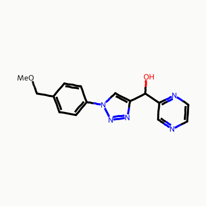 COCc1ccc(-n2cc(C(O)c3cnccn3)nn2)cc1